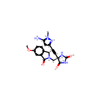 COc1ccc2c(c1)C(=O)N(C[C@@]1(C#Cc3cc(N)n(C)n3)NC(=O)NC1=O)C2